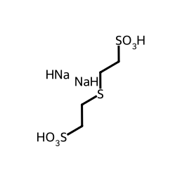 O=S(=O)(O)CCSCCS(=O)(=O)O.[NaH].[NaH]